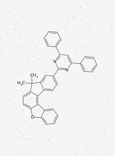 CC1(C)c2cc(-c3nc(-c4ccccc4)cc(-c4ccccc4)n3)ccc2-c2c1ccc1oc3ccccc3c21